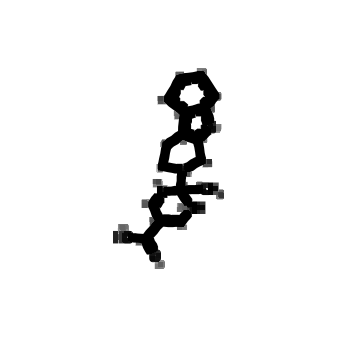 CC1(N2CCc3c(sc4ccccc34)C2)N=CC(C(=O)O)=CN1